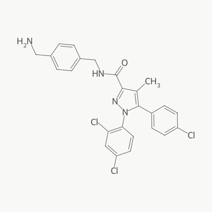 Cc1c(C(=O)NCc2ccc(CN)cc2)nn(-c2ccc(Cl)cc2Cl)c1-c1ccc(Cl)cc1